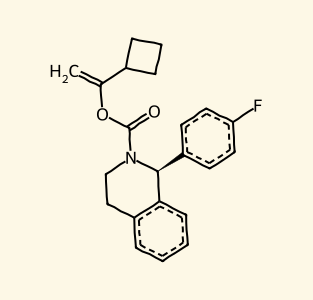 C=C(OC(=O)N1CCc2ccccc2[C@@H]1c1ccc(F)cc1)C1CCC1